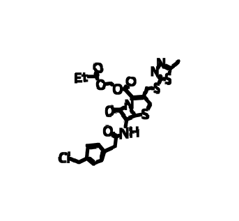 CCC(=O)OCOC(=O)C1=C(CSc2nnc(C)s2)CSC2C(NC(=O)Cc3ccc(CCl)cc3)C(=O)N12